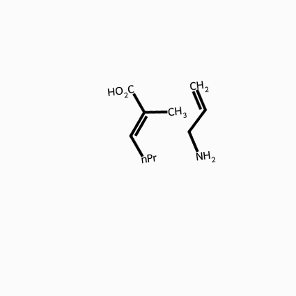 C=CCN.CCCC=C(C)C(=O)O